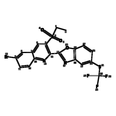 CCS(=O)(=O)c1cc2cc(Br)ccc2nc1-c1nc2cc(SC(F)(F)F)ccc2o1